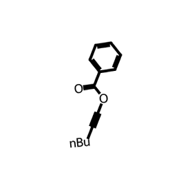 CCCCC#COC(=O)c1ccccc1